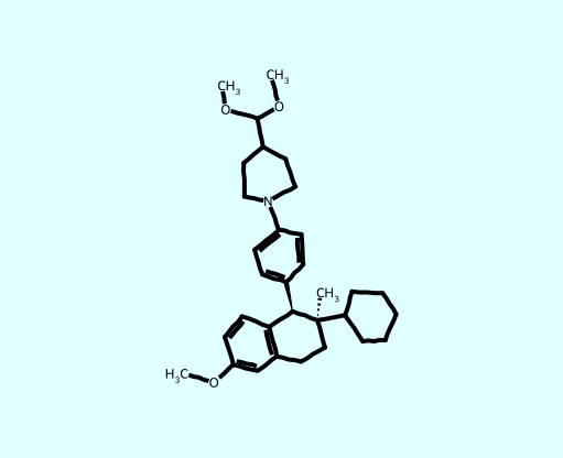 COc1ccc2c(c1)CC[C@](C)(C1CCCCC1)[C@@H]2c1ccc(N2CCC(C(OC)OC)CC2)cc1